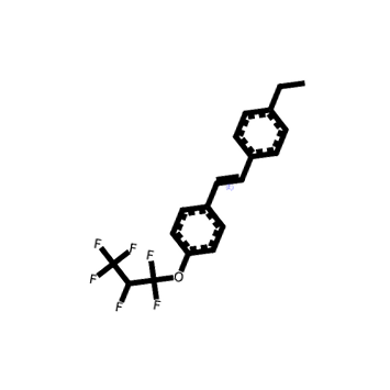 CCc1ccc(/C=C/c2ccc(OC(F)(F)C(F)C(F)(F)F)cc2)cc1